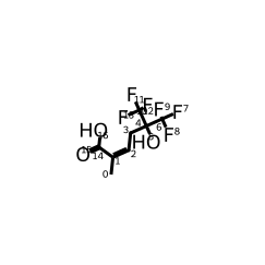 CC(=CCC(O)(C(F)(F)F)C(F)(F)F)C(=O)O